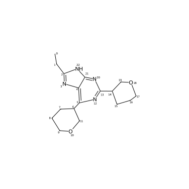 CCc1nc2c(C3CCCOC3)nc(C3CCCOC3)nc2[nH]1